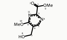 COC(=O)c1ncc(CO)c(OC)n1